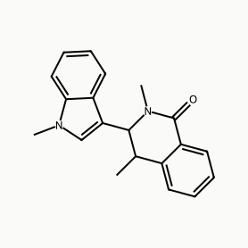 CC1c2ccccc2C(=O)N(C)C1c1cn(C)c2ccccc12